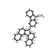 Cn1c2ccccc2c2cc(-n3c4ccc5ccccc5c4c4c5ccccc5ccc43)ccc21